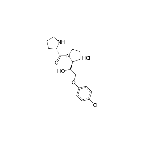 Cl.O=C([C@@H]1CCCN1)N1CCC[C@H]1C(O)COc1ccc(Cl)cc1